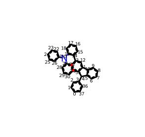 c1ccc(C2c3ccccc3-c3cc(-c4ccccc4N(c4ccccc4)c4ccccc4)ccc32)cc1